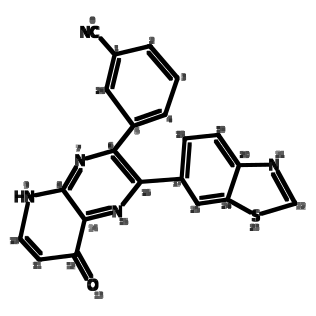 N#Cc1cccc(-c2nc3[nH]ccc(=O)c3nc2-c2ccc3ncsc3c2)c1